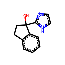 OC1(c2ncc[nH]2)CCc2ccccc21